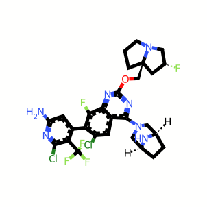 Nc1cc(-c2c(Cl)cc3c(N4C[C@H]5CC[C@@H](C4)N5)nc(OC[C@@]45CCCN4C[C@H](F)C5)nc3c2F)c(C(F)(F)F)c(Cl)n1